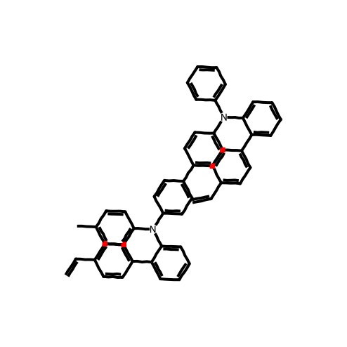 C=Cc1ccc(-c2ccccc2N(c2ccccc2)c2ccc(-c3ccc(N(c4ccc(C)cc4)c4ccccc4-c4ccc(C=C)cc4)cc3)cc2)cc1